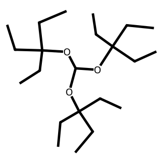 CCC(CC)(CC)OC(OC(CC)(CC)CC)OC(CC)(CC)CC